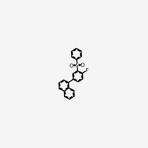 O=S(=O)(c1ccccc1)c1cc(-c2cccc3ccccc23)ccc1F